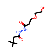 CC(C)(C)CC(=O)NNC(=O)CCOCCO